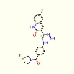 N=N/C(=C\Nc1ccc(C(=O)N2CC[C@H](F)C2)cc1)c1cc2cc(F)ccc2[nH]c1=O